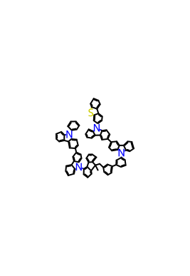 CC1(Cc2cccc(-c3cccc(-n4c5ccccc5c5cc(-c6ccc7c(c6)c6ccccc6n7-c6ccc7c(c6)sc6ccccc67)ccc54)c3)c2)c2ccccc2-c2c(-n3c4ccccc4c4cc(-c5ccc6c(c5)c5ccccc5n6-c5ccccc5)ccc43)cccc21